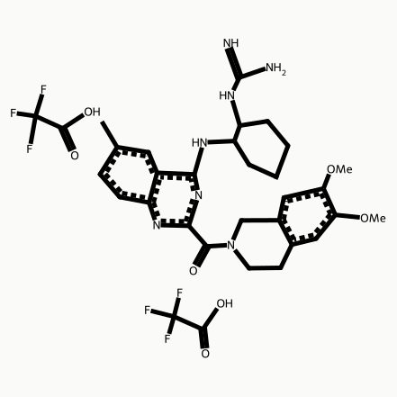 COc1cc2c(cc1OC)CN(C(=O)c1nc(NC3CCCCC3NC(=N)N)c3cc(C)ccc3n1)CC2.O=C(O)C(F)(F)F.O=C(O)C(F)(F)F